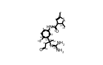 CC1=CC(C(=O)Nc2ccc(F)c(C(C)(CC=O)N=C(N)N)c2)C(C)S1